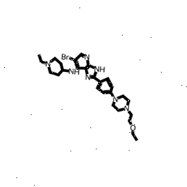 CCOCCN1CCN(c2ccc(-c3nc4c(NC5CCN(CC)CC5)c(Br)cnc4[nH]3)cc2)CC1